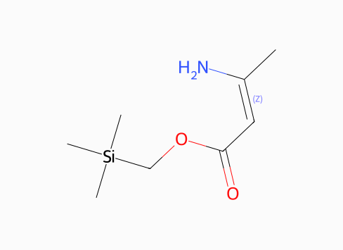 C/C(N)=C/C(=O)OC[Si](C)(C)C